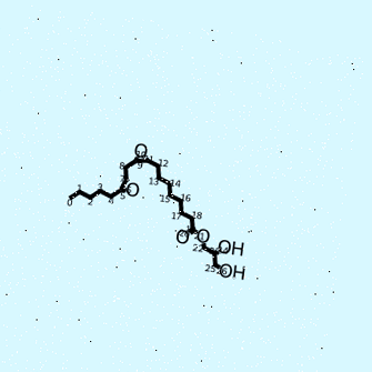 CCCCCC1OC1CC1OC1CCCCCCCC(=O)OCC(O)CO